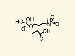 CCC(=O)O.O=[SH](=O)NCCCOP(=O)(O)O